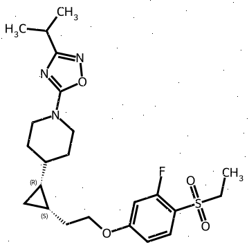 CCS(=O)(=O)c1ccc(OCC[C@@H]2C[C@@H]2C2CCN(c3nc(C(C)C)no3)CC2)cc1F